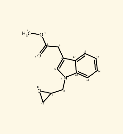 COC(=O)Cc1cn(CC2CO2)c2ccccc12